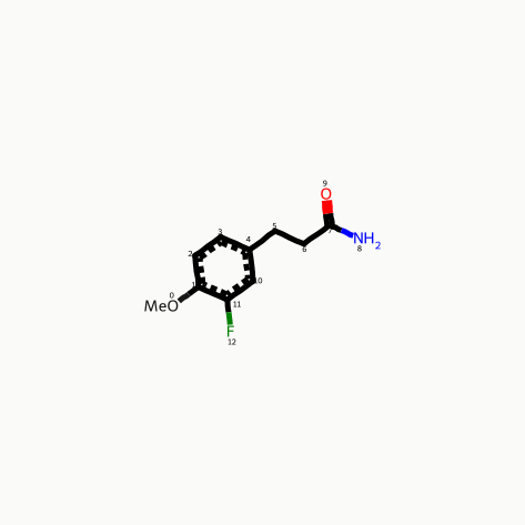 COc1ccc(CCC(N)=O)cc1F